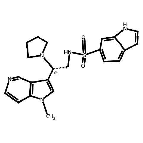 Cn1cc([C@@H](CNS(=O)(=O)c2ccc3cc[nH]c3c2)N2CCCC2)c2cnccc21